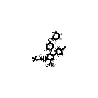 CC(C)(C)OC(=O)Nc1cc(N2CCC(OC3CCCCO3)CC2)c(-c2ccc(F)cc2)cc1[N+](=O)[O-]